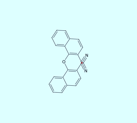 N#Cc1ccc2ccccc2c1Oc1c(C#N)ccc2ccccc12